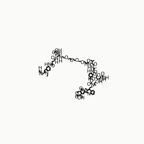 CCn1c(CN(C)NC)cc2cc(NC(=O)CCC(=O)N[C@@H](CS(=O)(=O)O)C(=O)NCCOCCOCCOCCOCCC(=O)N[C@H](C(=O)N[C@@H](C)C(=O)Nc3ccc(COC(=O)N(CCc4c5c(nc6ccccc46)-c4cc6c(c(=O)n4C5)COC(=O)[C@]6(O)CC)C(C)C)cc3O[C@@H]3O[C@H](C(=O)O)[C@@H](O)[C@H](O)[C@H]3O)C(C)C)ccc21